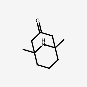 CC12CCCC(C)(CC(=O)C1)N2